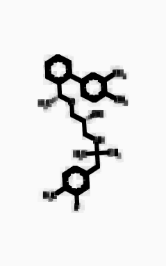 Cc1ccc(-c2ccccc2[C@@H](C)OC[C@H](O)CNC(C)(C)Cc2ccc(C)c(F)c2)cc1C